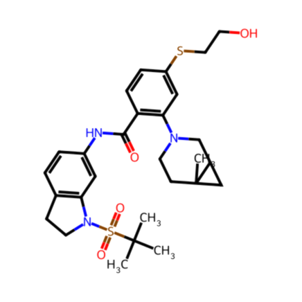 CC12CCN(c3cc(SCCO)ccc3C(=O)Nc3ccc4c(c3)N(S(=O)(=O)C(C)(C)C)CC4)CC1C2